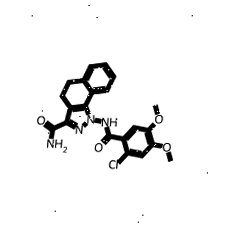 COc1cc(Cl)c(C(=O)Nn2nc(C(N)=O)c3c2-c2ccccc2CC3)cc1OC